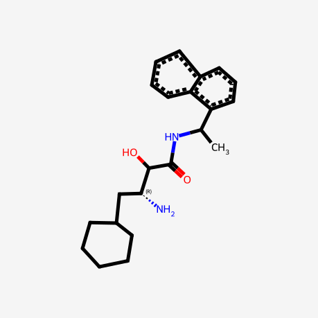 CC(NC(=O)C(O)[C@H](N)CC1CCCCC1)c1cccc2ccccc12